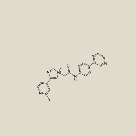 C[N+]1(CC(=O)Nc2ccc(-c3cnccn3)cn2)C=NC(c2ccnc(F)c2)=C1